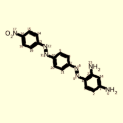 Nc1ccc(N=Nc2ccc(N=Nc3ccc([N+](=O)[O-])cc3)cc2)c(N)c1